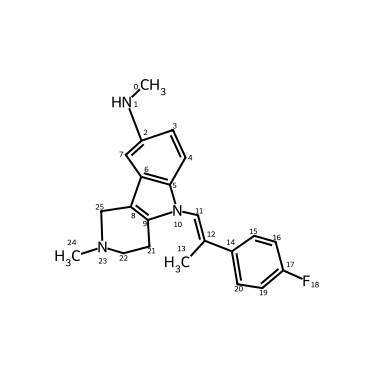 CNc1ccc2c(c1)c1c(n2C=C(C)c2ccc(F)cc2)CCN(C)C1